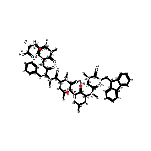 CC(C)C[C@H](NC(=O)[C@H](Cc1ccccc1)N(C)C(=O)[C@H](CC(C)C)N(C)C(=O)[C@H](C)NC(=O)[C@H](CC(C)C)N(C)C(=O)[C@H](C)N(C)C(=O)OCC1c2ccccc2-c2ccccc21)C(=O)N(C)[C@@H](C)C(=O)N[C@@H](C)C(=O)O